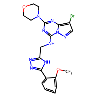 FC(F)(F)Oc1ccccc1-c1nnc(CNc2nc(N3CCOCC3)nc3c(Br)cnn23)[nH]1